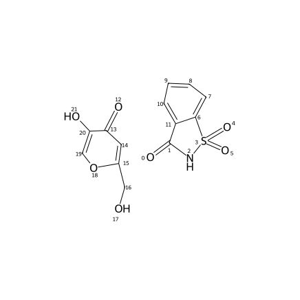 O=C1NS(=O)(=O)c2ccccc21.O=c1cc(CO)occ1O